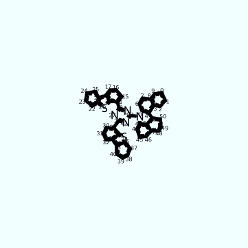 c1ccc2c3c(ccc2c1)N(c1nc(-c2cccc4c2sc2ccccc24)nc(-c2cccc4c2sc2ccccc24)n1)c1cccc2cccc-3c12